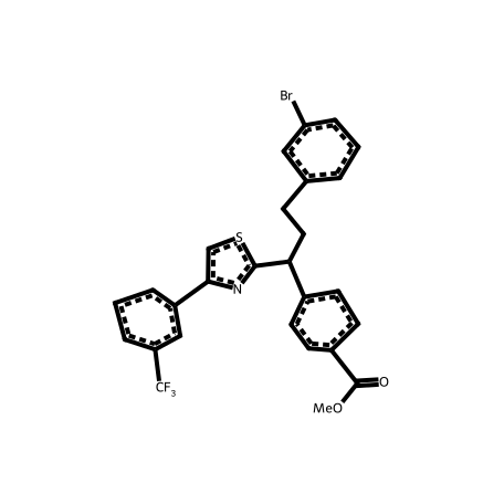 COC(=O)c1ccc(C(CCc2cccc(Br)c2)c2nc(-c3cccc(C(F)(F)F)c3)cs2)cc1